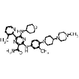 Cc1cc(Nc2nc(NC3CCOCC3)c(-c3ncccc3C)nc2C(N)=O)ccc1N1CCC(N2CCN(C)CC2)CC1